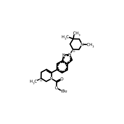 C[C@H]1CC=C(c2ccc3cn([C@@H]4CN(C)CC(C)(C)C4)nc3c2)N(C(=O)OC(C)(C)C)C1